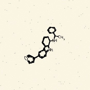 C[C@@H](N[C@@H]1CCCc2c1[nH]c1ccc(-c3ccoc3)cc21)c1ccccc1